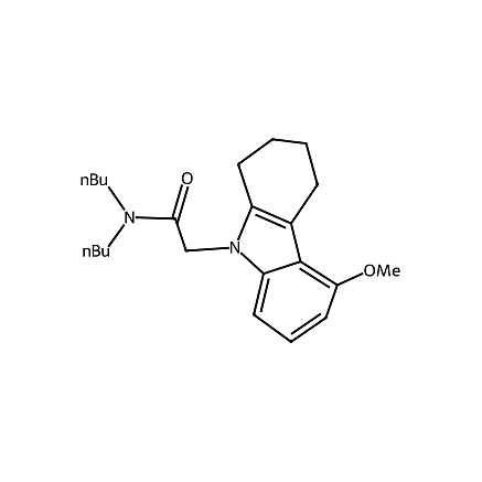 CCCCN(CCCC)C(=O)Cn1c2c(c3c(OC)cccc31)CCCC2